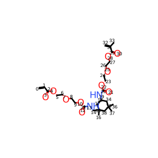 C=CC(=O)OCCOCCOC(=O)NCC1(C)CC(NC(=O)OCCOCCOC(=O)C(=C)C)CC(C)(C)C1